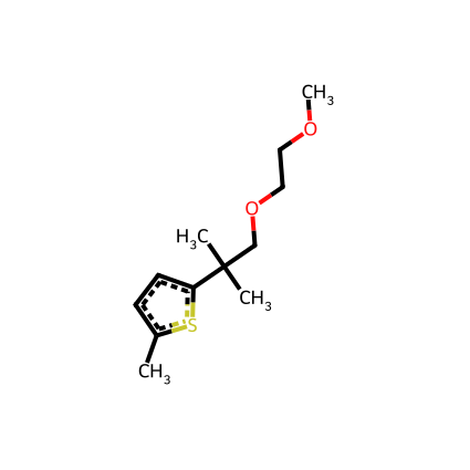 COCCOCC(C)(C)c1ccc(C)s1